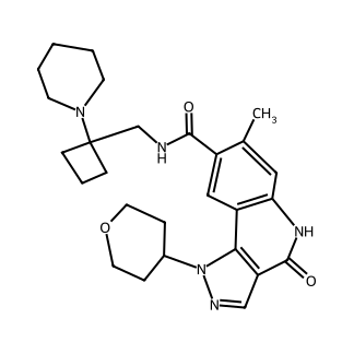 Cc1cc2[nH]c(=O)c3cnn(C4CCOCC4)c3c2cc1C(=O)NCC1(N2CCCCC2)CCC1